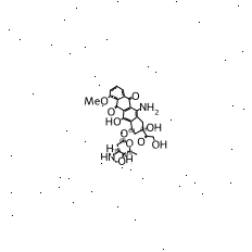 COc1cccc2c1C(=O)c1c(O)c3c(c(N)c1C2=O)C[C@@](O)(C(=O)CO)C[C@@H]3O[C@H]1C[C@@H]2NCO[C@@H]2[C@H](C)O1